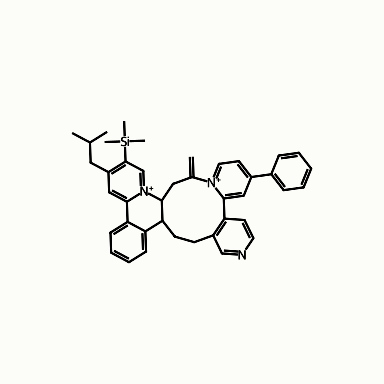 C=C1CC2C(CCc3cnccc3-c3cc(-c4ccccc4)cc[n+]31)c1ccccc1-c1cc(CC(C)C)c([Si](C)(C)C)c[n+]12